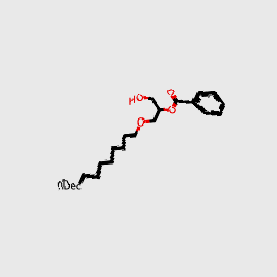 CCCCCCCCCCCCCCCCCCOCC(CO)OC(=O)c1ccccc1